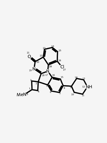 CNC1CC2(C1)c1ccc(C3CCNCC3)cc1-n1c2nc(=O)c2cccc(Cl)c21